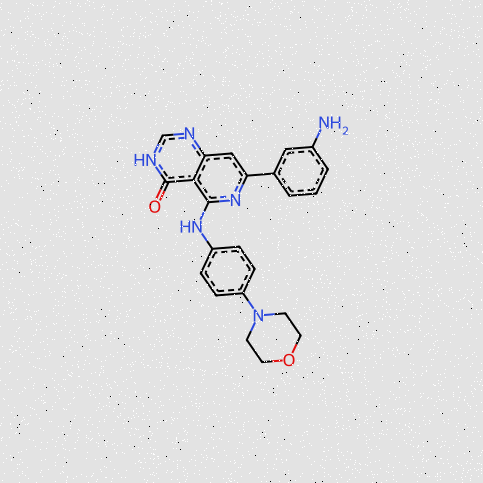 Nc1cccc(-c2cc3nc[nH]c(=O)c3c(Nc3ccc(N4CCOCC4)cc3)n2)c1